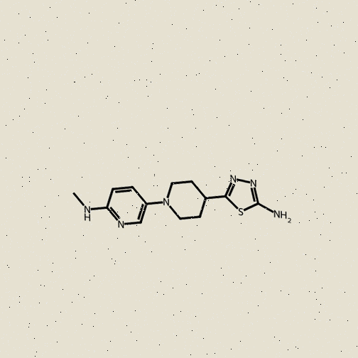 CNc1ccc(N2CCC(c3nnc(N)s3)CC2)cn1